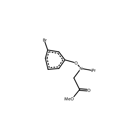 COC(=O)CN(Oc1cccc(Br)c1)C(C)C